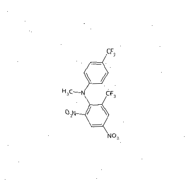 CN(c1ccc(C(F)(F)F)cc1)c1c([N+](=O)[O-])cc([N+](=O)[O-])cc1C(F)(F)F